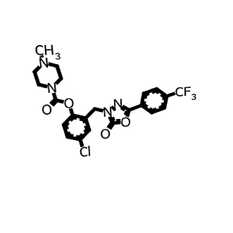 CN1CCN(C(=O)Oc2ccc(Cl)cc2Cn2nc(-c3ccc(C(F)(F)F)cc3)oc2=O)CC1